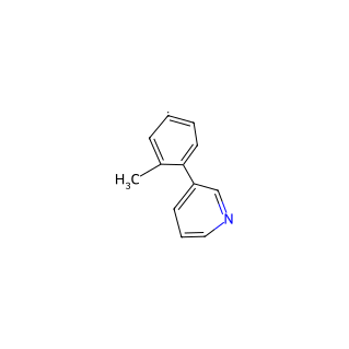 Cc1c[c]ccc1-c1cccnc1